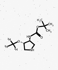 [2H]C([2H])([2H])O[C@H]1CNC[C@@H]1NC(=O)OC(C)(C)C